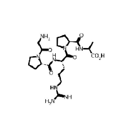 C[C@H](NC(=O)[C@@H]1CCCN1C(=O)[C@H](CCCNC(=N)N)NC(=O)[C@@H]1CCCN1C(=O)CN)C(=O)O